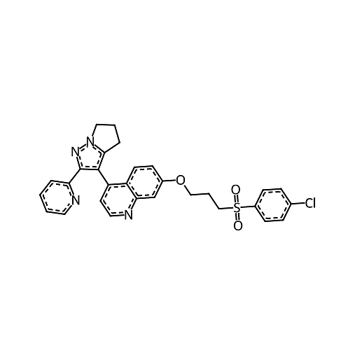 O=S(=O)(CCCOc1ccc2c(-c3c(-c4ccccn4)nn4c3CCC4)ccnc2c1)c1ccc(Cl)cc1